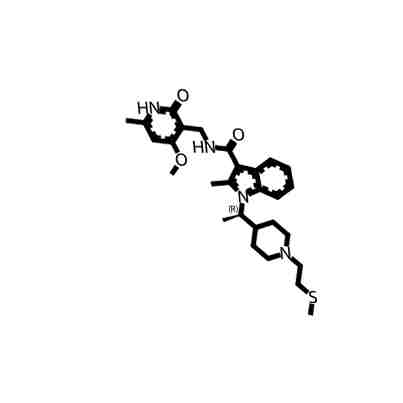 COc1cc(C)[nH]c(=O)c1CNC(=O)c1c(C)n([C@H](C)C2CCN(CCSC)CC2)c2ccccc12